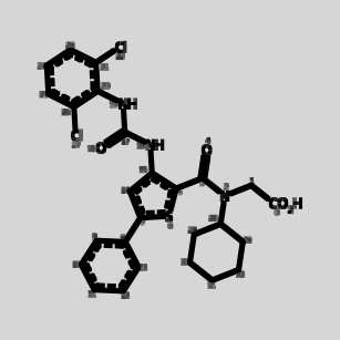 O=C(O)CN(C(=O)c1sc(-c2ccccc2)cc1NC(=O)Nc1c(Cl)cccc1Cl)C1CCCCC1